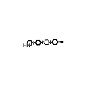 C#CC1CCC(N2CCN(c3ccc(N4C=CCNC4)cc3)CC2)CC1